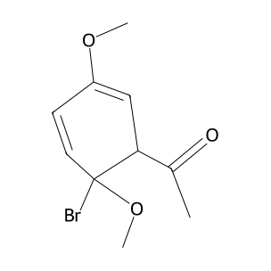 COC1=CC(C(C)=O)C(Br)(OC)C=C1